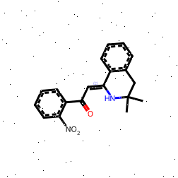 CC1(C)Cc2ccccc2/C(=C/C(=O)c2ccccc2[N+](=O)[O-])N1